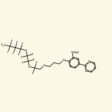 CCCCCCCc1cc(-c2ncccn2)ccc1OCCCOCC(F)(F)OC(F)(F)C(F)(F)OC(F)(F)C(F)(F)C(F)(F)C(F)(F)F